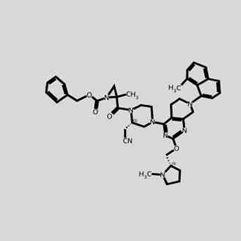 Cc1cccc2cccc(N3CCc4c(nc(OC[C@@H]5CCCN5C)nc4N4CCN(C(=O)C5(C)CN5C(=O)OCc5ccccc5)[C@@H](CC#N)C4)C3)c12